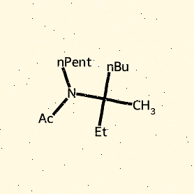 CCCCCN(C(C)=O)C(C)(CC)CCCC